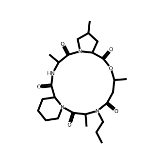 CCCN1C(=O)CC(C)OC(=O)C2CC(C)CN2C(=O)C(C)NC(=O)C2CCCCN2C(=O)C1C